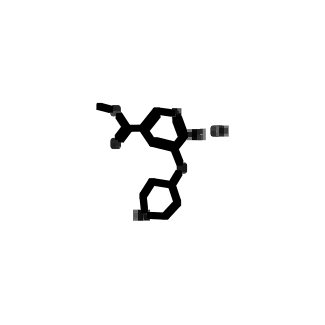 COC(=O)c1cncc(OC2CCNCC2)c1.Cl.Cl